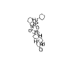 CN1C(=O)CC[C@]2(C)[C@H]3CC[C@]4(C)[C@@H](C(=O)N(CC5CCCCC5)C(=O)NSCC5CCCCC5)CC[C@H]4[C@@H]3CC[C@@H]12